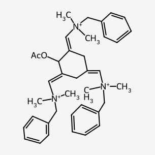 CC(=O)OC1C(=C[N+](C)(C)Cc2ccccc2)CC(=C[N+](C)(C)Cc2ccccc2)CC1=C[N+](C)(C)Cc1ccccc1